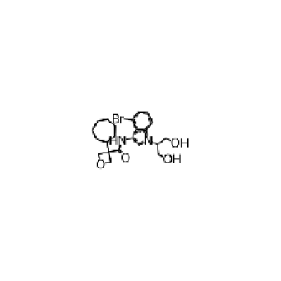 O=C(Nc1cn(C(CO)CO)c2cccc(Br)c12)C1(C2CCCCCC2)COC1